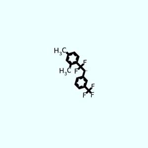 Cc1ccc(C(F)(F)[CH]c2cccc(C(F)(F)F)c2)c(C)c1